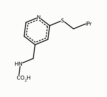 CC(C)CSc1cc(CNC(=O)O)ccn1